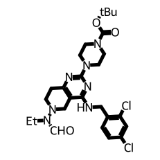 CCN(C=O)N1CCc2nc(N3CCN(C(=O)OC(C)(C)C)CC3)nc(NCc3ccc(Cl)cc3Cl)c2C1